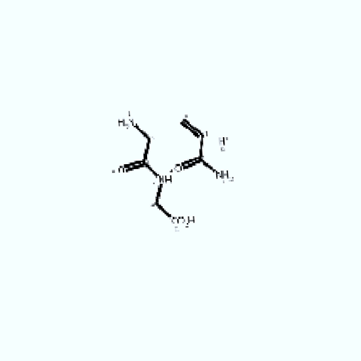 C=CC(N)=O.NCC(=O)NCC(=O)O.[H+]